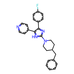 Fc1ccc(-c2nc(N3CCC(Cc4ccccc4)CC3)[nH]c2-c2ccncc2)cc1